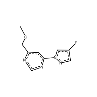 COCc1cc(-n2cc(F)cn2)ncn1